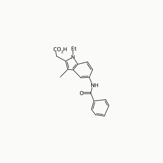 CCn1c(CC(=O)O)c(C)c2cc(NC(=O)c3ccccc3)ccc21